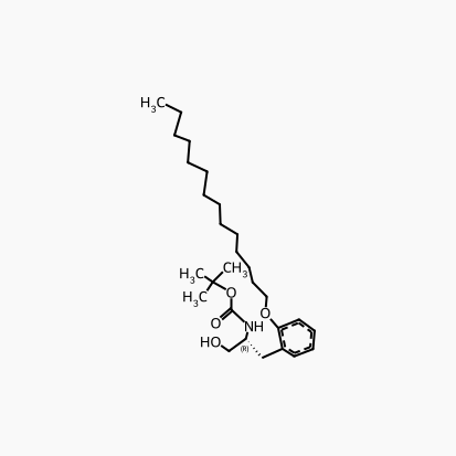 CCCCCCCCCCCCCCOc1ccccc1C[C@H](CO)NC(=O)OC(C)(C)C